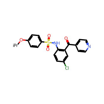 CC(C)Oc1ccc(S(=O)(=O)Nc2ccc(Cl)cc2C(=O)c2ccncc2)cc1